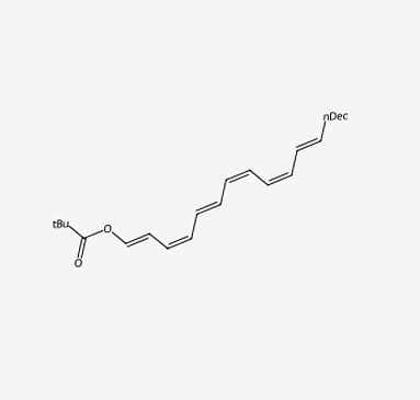 CCCCCCCCCCC=C\C=C/C=C\C=C\C=C/C=COC(=O)C(C)(C)C